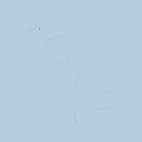 CCO[Si](CCc1ccc([N+](=O)[O-])cc1)(OCC)OCC